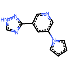 c1ccn(-c2cncc(-c3nc[nH]n3)c2)c1